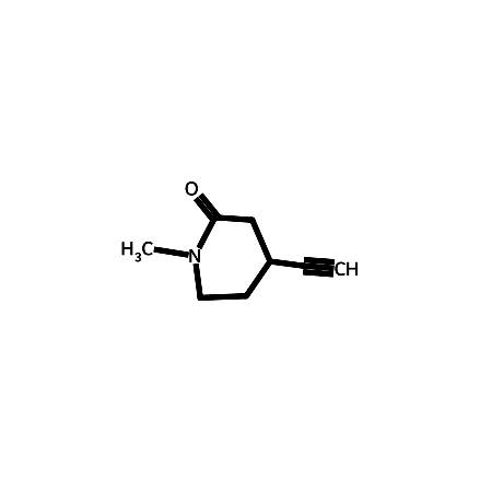 C#CC1CCN(C)C(=O)C1